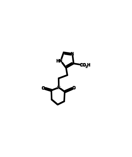 O=C(O)c1nc[nH]c1CCN1C(=O)CCCC1=O